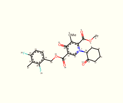 COc1c(C(=O)OC(C)C)n([C@H]2CCCCC2=O)cc(C(=O)OCc2ccc(F)c(C)c2F)c1=O